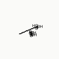 CCCCCCCCCCCCCCCCCCCCC1OCC(O)C1O.O=[N+]([O-])O.O=[N+]([O-])O